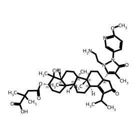 COc1ccc(-n2c(=O)c(C)c([C@@]34CC[C@]5(C)[C@H](CC[C@@H]6C7(C)CC[C@H](OC(=O)CC(C)(C)C(=O)O)C(C)(C)[C@@H]7CC[C@]65C)C3=C(C(C)C)C(=O)C4)n2CCN)cn1